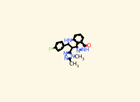 Cc1nnc(C2c3n[nH]c(=O)c4cccc(c34)NC2c2ccc(F)cc2)n1C